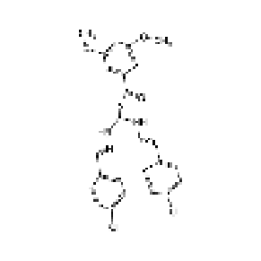 COc1cc(OC)cc(C(=O)N=C(NN=Cc2ccc(Cl)cc2)NN=Cc2ccc(Cl)cc2)c1